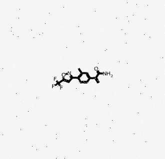 C=C(C(N)=O)c1ccc(-c2cc(C(F)(F)F)on2)c(C)c1